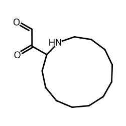 O=CC(=O)C1CCCCCCCCCCCN1